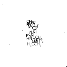 Cn1nnn(-c2cc(Nc3ncc(F)c(NC4CC(C)(C)NC(C)(C)C4)n3)cc(F)c2C2CC2)c1=O